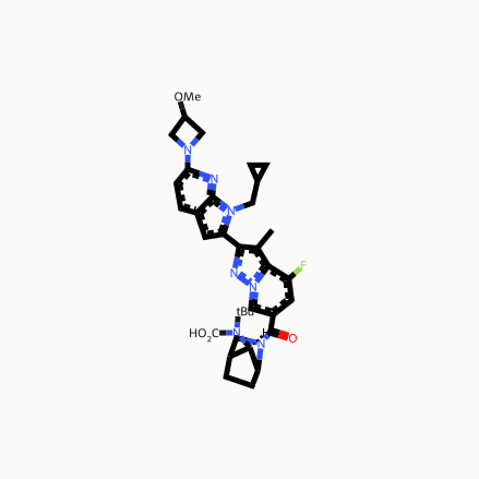 COC1CN(c2ccc3cc(-c4nn5cc(C(=O)N6CC7CCC6[C@@H]7N(C(=O)O)C(C)(C)C)cc(F)c5c4C)n(CC4CC4)c3n2)C1